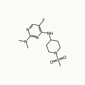 CN(C)c1ncc(F)c(NC2CCN(S(C)(=O)=O)CC2)n1